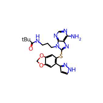 CC(C)(C)C(=O)NCCCn1c(Sc2cc3c(cc2-c2cc[nH]n2)OCO3)nc2c(N)ncnc21